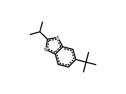 CC(C)c1nc2ccc(C(C)(C)C)cc2s1